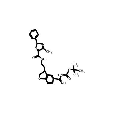 Cc1nn(-c2ccccc2)nc1C(=O)NCCC1COc2ccc(C(=N)NC(=O)OC(C)(C)C)cc21